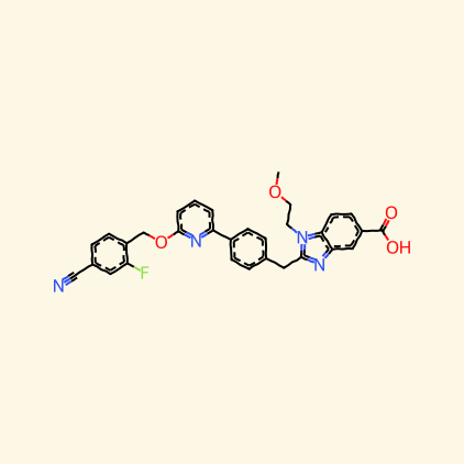 COCCn1c(Cc2ccc(-c3cccc(OCc4ccc(C#N)cc4F)n3)cc2)nc2cc(C(=O)O)ccc21